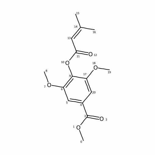 COC(=O)c1cc(OC)c(OC(=O)C=C(C)C)c(OC)c1